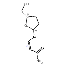 NC(=O)/C=C\N[C@H]1CC[C@@H](CO)O1